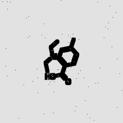 CCNCC.Cc1ccc(C(=O)O)cc1